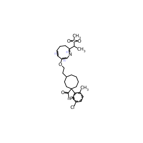 CCCC(=O)C1(c2cc(Cl)ccc2C)CCCCC(CCOC2=C/N=C(/C(C)S(C)(=O)=O)CC/C=C\2)CC1